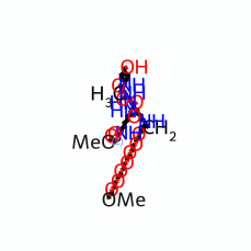 C=C(CCOCCOCCOCCOCCOCCOCCOCCOC)NCCCCC(NC(=O)CCCCCNC(=O)/C=C\C(=O)OC)C(=O)NCC(=O)NC(C)C(=O)Nc1ccc(CO)cc1